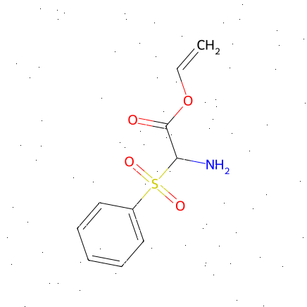 C=COC(=O)C(N)S(=O)(=O)c1ccccc1